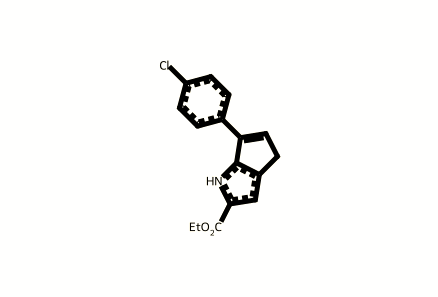 CCOC(=O)c1cc2c([nH]1)C(c1ccc(Cl)cc1)=CC2